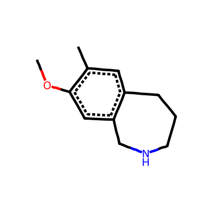 COc1cc2c(cc1C)CCCNC2